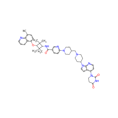 CC1(C)C(NC(=O)c2ccc(N3CCC(CN4CCC(n5ccc6c(N7CCC(=O)NC7=O)ccnc65)CC4)CC3)nc2)C(C)(C)C1Oc1ccc(C#N)c2ncccc12